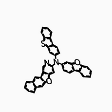 c1ccc2cc3c(cc2c1)oc1cc(N(c2ccc4c(c2)oc2ccccc24)c2ccc4c(c2)sc2ccccc24)ncc13